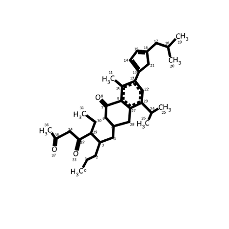 CCCC(CC1CC(=O)c2c(C)c(C3=CC=C(CC(C)C)C3)cc(C(C)C)c2C1)C(CC)C(=O)CC(C)=O